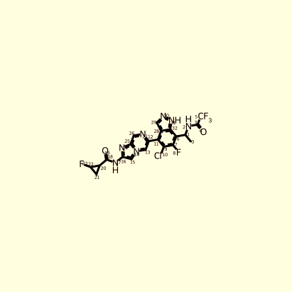 CC(NC(=O)C(F)(F)F)c1c(F)c(Cl)c(-c2cn3cc(NC(=O)C4CC4F)nc3cn2)c2cn[nH]c12